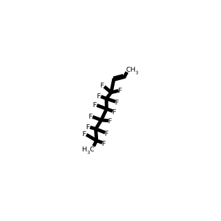 C/C=C/C(F)(F)C(F)(F)C(F)(F)C(F)(F)C(F)(F)C(C)(F)F